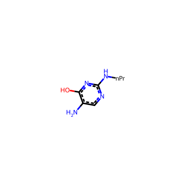 CCCNc1ncc(N)c(O)n1